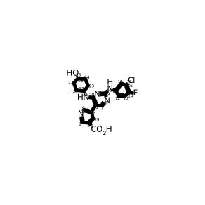 O=C(O)c1cncc(-c2cnc(Nc3ccc(F)c(Cl)c3)nc2N[C@H]2CC[C@H](O)CC2)c1